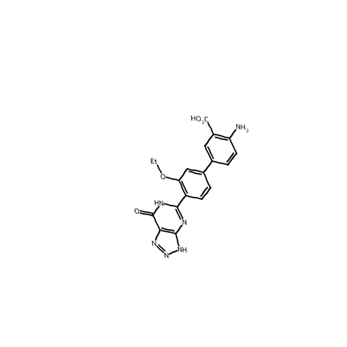 CCOc1cc(-c2ccc(N)c(C(=O)O)c2)ccc1-c1nc2[nH]nnc2c(=O)[nH]1